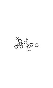 CC(C)(C)c1ccc(N(c2cc(N3c4ccc(C5CCCCC5)cc4C4(CCCCC4)C3(C)C)cc(C(C)(C)C)c2)c2cccc3c2oc2ccccc23)cc1